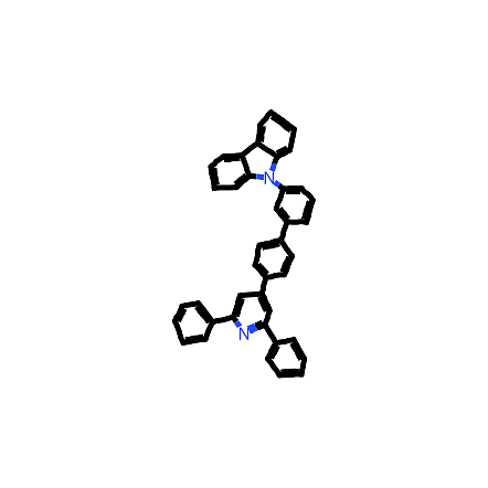 c1ccc(-c2cc(-c3ccc(-c4cccc(-n5c6ccccc6c6ccccc65)c4)cc3)cc(-c3ccccc3)n2)cc1